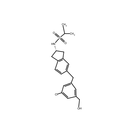 CC(C)S(=O)(=O)N[C@H]1Cc2ccc(Cc3cc(Cl)cc(CO)c3)cc2C1